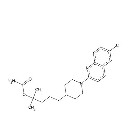 CC(C)(CCCC1CCN(c2ccc3cc(Cl)ccc3n2)CC1)OC(N)=O